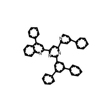 c1ccc(-c2cc(-c3ccccc3)cc(-c3nc(-c4cc(-c5ccccc5)ccn4)cc(-c4cc(-c5ccccc5)c5ccccc5n4)n3)c2)cc1